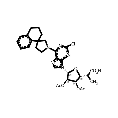 CC(=O)O[C@@H]1[C@H](OC(C)=O)[C@@H](C(C)C(=O)O)O[C@H]1n1cnc2c(N3CCC4(CCCc5ccccc54)C3)nc(Cl)nc21